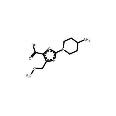 COCc1nc(N2CCC(N)CC2)sc1C(=O)O